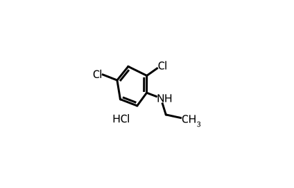 CCNc1ccc(Cl)cc1Cl.Cl